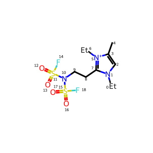 CCn1cc(C)[n+](CC)c1CCN(S(=O)(=O)F)S(=O)(=O)F